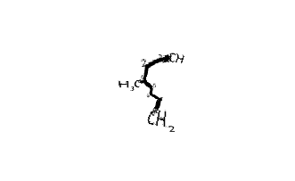 C#CCC(C)=CCC=C